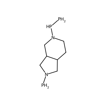 PPN1CCC2CN(P)CC2C1